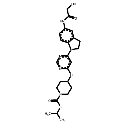 CC(C)SC(=O)N1CCC(Oc2cc(N3CCc4cc(NC(=O)CO)ccc43)ncn2)CC1